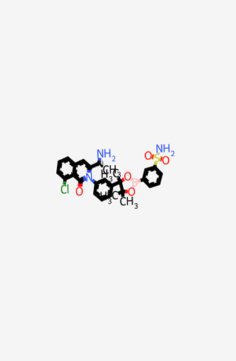 C[C@H](N)c1cc2cccc(Cl)c2c(=O)n1-c1cccc(C2(C)OB(c3cccc(S(N)(=O)=O)c3)OC2(C)C)c1